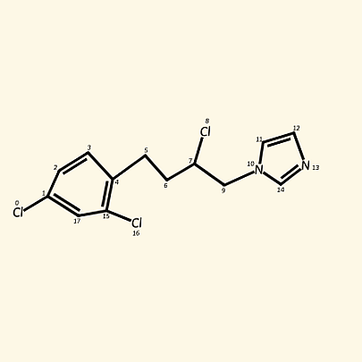 Clc1ccc(CCC(Cl)Cn2ccnc2)c(Cl)c1